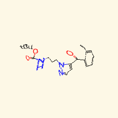 Cc1ccccc1C(=O)c1ccnn1CCCNC(=O)OC(C)(C)C